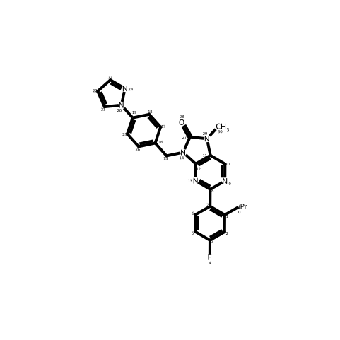 CC(C)c1cc(F)ccc1-c1ncc2c(n1)n(Cc1ccc(-n3cccn3)cc1)c(=O)n2C